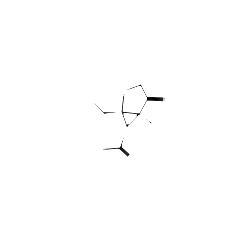 CC[C@@]12OCC(=O)[C@@H]1[C@H]2C(=O)O